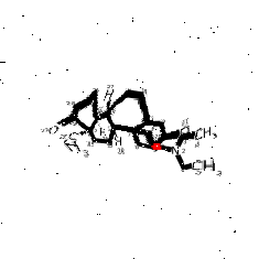 CCN(CC)CCC12CCC(=O)CC1=CC[C@@H]1[C@@H]2CC[C@]2(C)C(=O)CC[C@@H]12